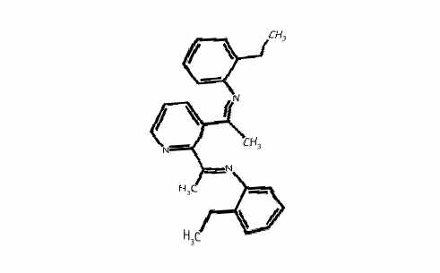 CCc1ccccc1N=C(C)c1cccnc1C(C)=Nc1ccccc1CC